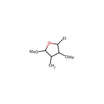 CCC1OC(OC)C(C)C1OC